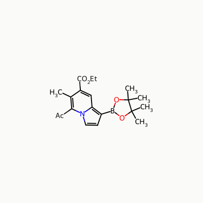 CCOC(=O)c1cc2c(B3OC(C)(C)C(C)(C)O3)ccn2c(C(C)=O)c1C